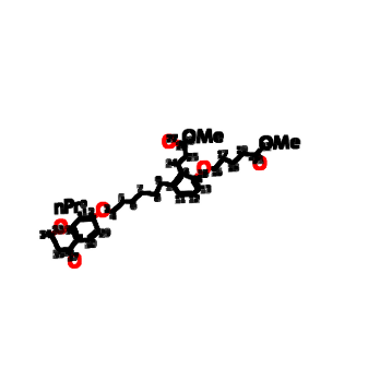 CCCc1c(OCCCCCCc2cccc(OCCCCC(=O)OC)c2CCC(=O)OC)ccc2c1OCCC2=O